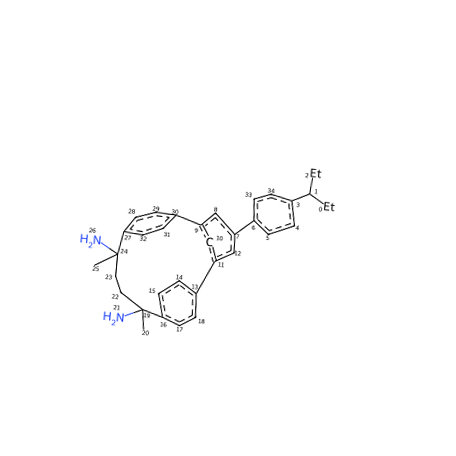 CCC(CC)c1ccc(-c2cc3cc(c2)-c2ccc(cc2)C(C)(N)CCC(C)(N)c2ccc-3cc2)cc1